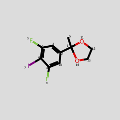 CC1(c2cc(F)c(I)c(F)c2)OCCO1